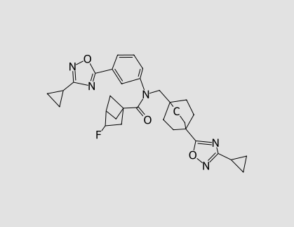 O=C(N(CC12CCC(c3nc(C4CC4)no3)(CC1)CC2)c1cccc(-c2nc(C3CC3)no2)c1)C12CC(F)C(C1)C2